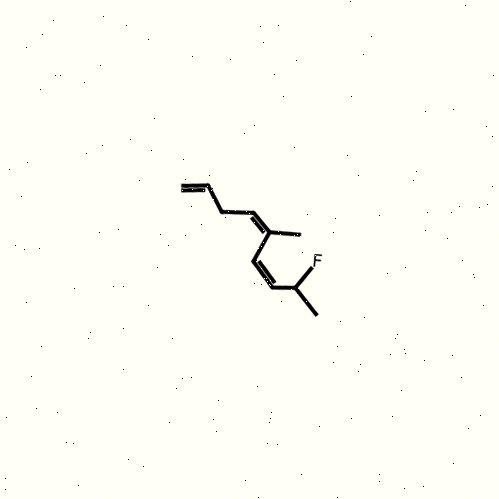 C=CC/C=C(C)\C=C/C(C)F